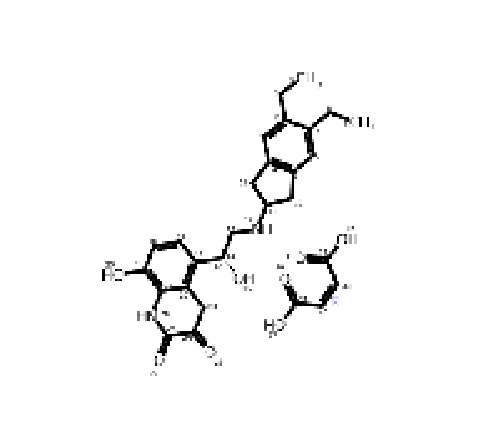 CCc1cc2c(cc1CC)CC(NC[C@H](O)c1ccc(O)c3c1CC(=O)C(=O)N3)C2.O=C(O)/C=C\C(=O)O